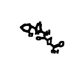 O=C(O)C1CC(C(=O)Nc2nc(-c3ccccc3Cl)cs2)C1